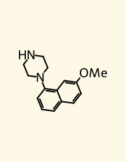 COc1ccc2cccc(N3CCNCC3)c2c1